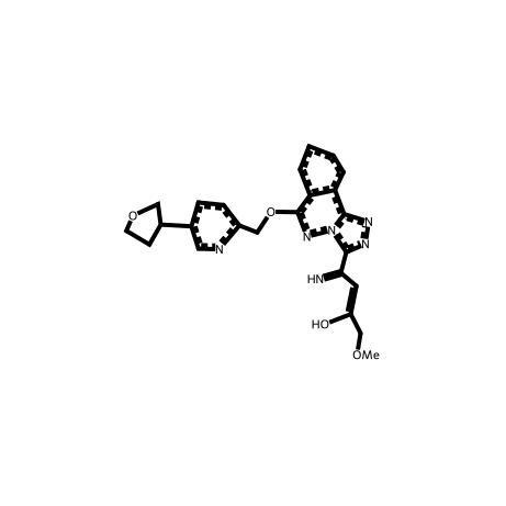 COC/C(O)=C/C(=N)c1nnc2c3ccccc3c(OCc3ccc(C4CCOC4)cn3)nn12